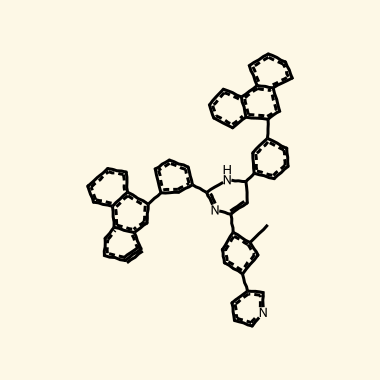 Cc1cc(-c2cccnc2)ccc1C1=CC(c2cccc(-c3cc4ccccc4c4ccccc34)c2)NC(c2cccc(-c3cc4c#cccc4c4ccccc34)c2)=N1